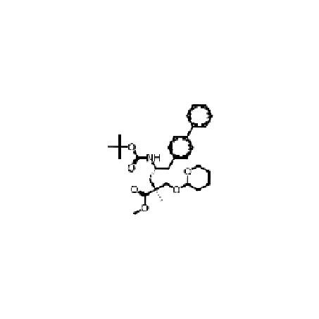 COC(=O)[C@](C)(COC1CCCCO1)C[C@@H](Cc1ccc(-c2ccccc2)cc1)NC(=O)OC(C)(C)C